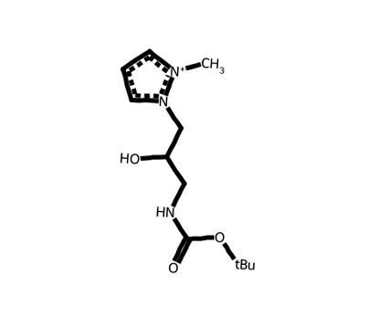 C[n+]1cccn1CC(O)CNC(=O)OC(C)(C)C